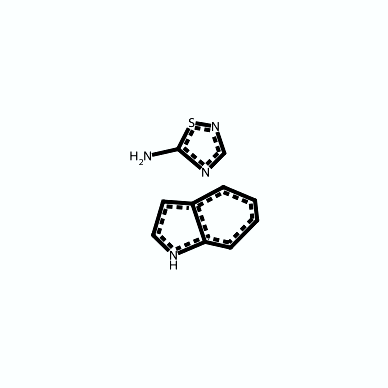 Nc1ncns1.c1ccc2[nH]ccc2c1